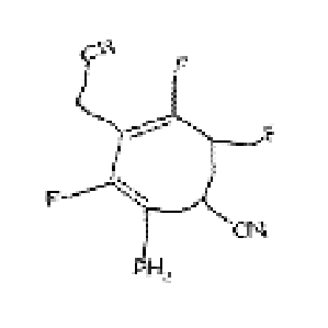 N#CCC1=C(F)C(F)C(C#N)C(P)=C1F